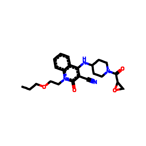 CCCOCCn1c(=O)c(C#N)c(NC2CCN(C(=O)C3CO3)CC2)c2ccccc21